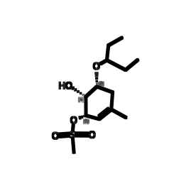 CCC(CC)O[C@@H]1CC(C)=C[C@H](OS(C)(=O)=O)[C@@H]1O